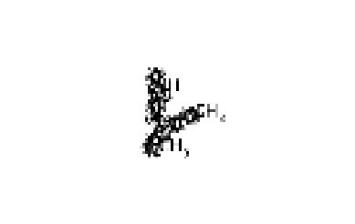 Cc1cc(CC(OC(=O)N2CCC(N3CCc4ccccc4NC3=O)CC2)C(=O)N2CCC(N3CCN(C)CC3)CC2)cc2ccnn12